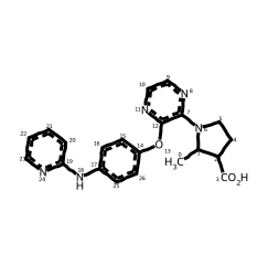 CC1C(C(=O)O)CCN1c1nccnc1Oc1ccc(Nc2ccccn2)cc1